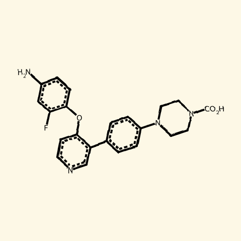 Nc1ccc(Oc2ccncc2-c2ccc(N3CCN(C(=O)O)CC3)cc2)c(F)c1